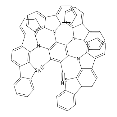 N#Cc1c(C#N)c(-n2c3ccccc3c3ccc4c5ccccc5sc4c32)c(-n2c3ccccc3c3ccccc32)c(-n2c3ccccc3c3ccccc32)c1-n1c2ccccc2c2ccc3c4ccccc4sc3c21